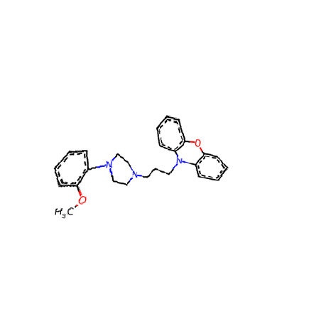 COc1ccccc1N1CCN(CCCN2c3ccccc3Oc3ccccc32)CC1